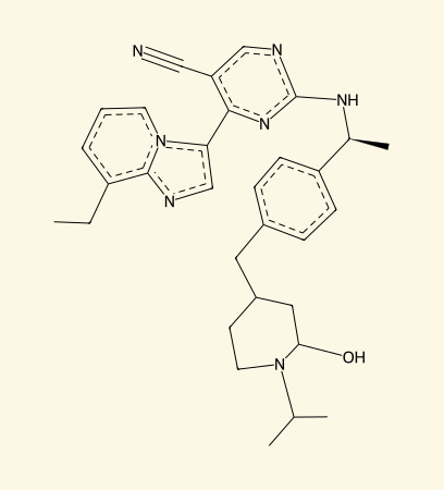 CCc1cccn2c(-c3nc(N[C@@H](C)c4ccc(CC5CCN(C(C)C)C(O)C5)cc4)ncc3C#N)cnc12